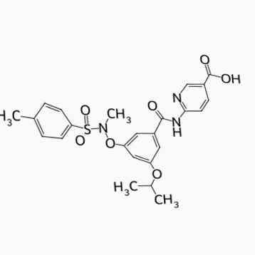 Cc1ccc(S(=O)(=O)N(C)Oc2cc(OC(C)C)cc(C(=O)Nc3ccc(C(=O)O)cn3)c2)cc1